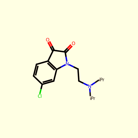 CC(C)N(CCN1C(=O)C(=O)c2ccc(Cl)cc21)C(C)C